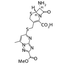 COC(=O)c1nc2nc(SCC3=C(C(=O)O)N4C(=O)[C@@H](N)[C@H]4SC3)cc(C)n2n1